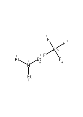 CCN(CC)CC.F[B-](F)(F)F